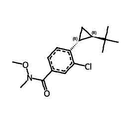 CON(C)C(=O)c1ccc([C@@H]2C[C@H]2C(C)(C)C)c(Cl)c1